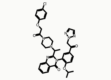 CC(C)Oc1ccc(C(=O)Cn2nccn2)cc1-n1c(C(C)N2CCN(C(=O)COc3ccc(Cl)cc3)CC2)nc2ccccc2c1=O